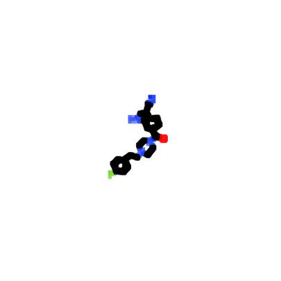 N#Cc1c[nH]c2cc(C(=O)N3CCN(CCc4ccc(F)cc4)CC3)ccc12